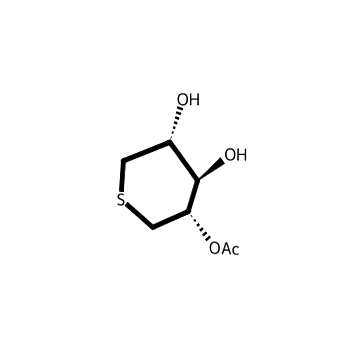 CC(=O)O[C@@H]1CSC[C@H](O)[C@H]1O